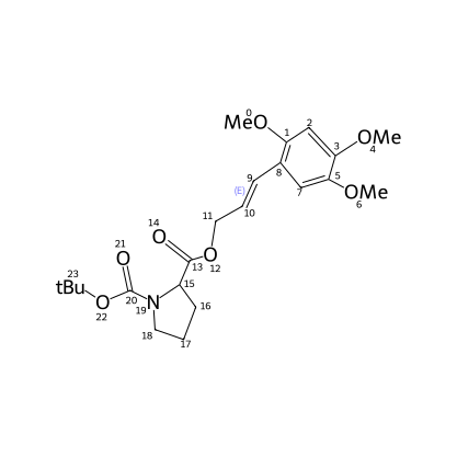 COc1cc(OC)c(OC)cc1/C=C/COC(=O)C1CCCN1C(=O)OC(C)(C)C